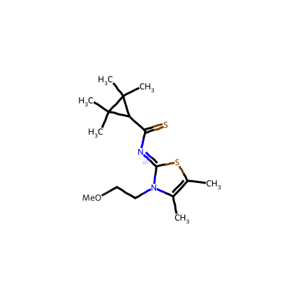 COCCn1c(C)c(C)s/c1=N\C(=S)C1C(C)(C)C1(C)C